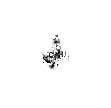 CC(C)(C)C[C@]1(c2ccc(-c3cnn(C4CC4)n3)c(F)c2)NC(=N)N([C@H](COC(=O)NC2(C(F)(F)F)CC2)c2ccc(Cl)c(-c3ncnn3C(F)F)c2)C1=O